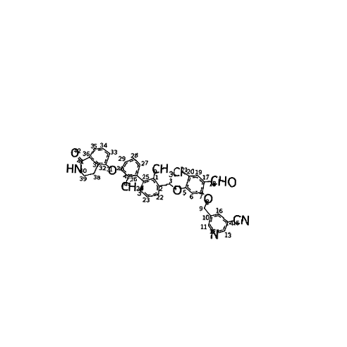 Cc1c(COc2cc(OCc3cncc(C#N)c3)c(C=O)cc2Cl)cccc1-c1cccc(Oc2cccc3c2CCNC3=O)c1C